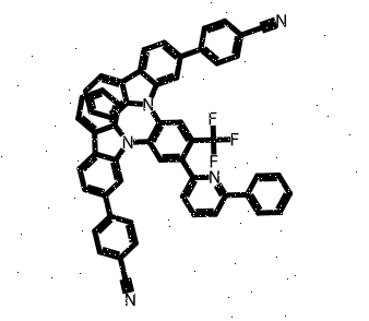 N#Cc1ccc(-c2ccc3c4ccccc4n(-c4cc(-c5cccc(-c6ccccc6)n5)c(C(F)(F)F)cc4-n4c5ccccc5c5ccc(-c6ccc(C#N)cc6)cc54)c3c2)cc1